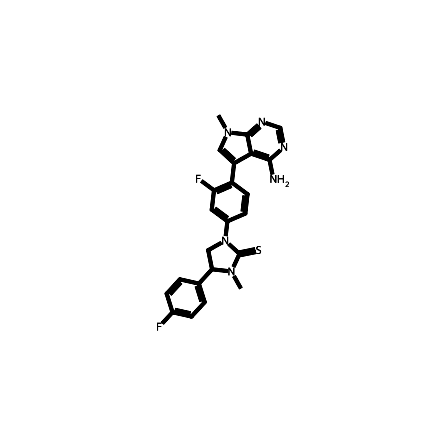 CN1C(=S)N(c2ccc(-c3cn(C)c4ncnc(N)c34)c(F)c2)CC1c1ccc(F)cc1